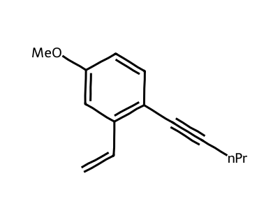 C=Cc1cc(OC)ccc1C#CCCC